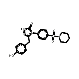 O=S(=O)(c1ccc(-n2c(Cc3ccc(O)cc3)n[nH]c2=S)cc1)N1CCCCC1